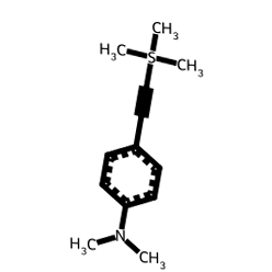 CN(C)c1ccc(C#CS(C)(C)C)cc1